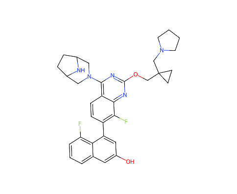 Oc1cc(-c2ccc3c(N4CC5CCC(C4)N5)nc(OCC4(CN5CCCC5)CC4)nc3c2F)c2c(F)cccc2c1